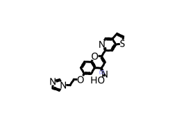 O/N=c1/cc(-c2cc3sccc3cn2)oc2ccc(OCCn3ccnc3)cc12